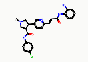 CN1CC(C(=O)Nc2ccc(Cl)cc2)C(c2ccc(/C=C/C(=O)Nc3ccccc3N)nc2)C1